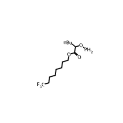 CCCCC(OP)C(=O)OCCCCCCCC(F)(F)F